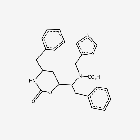 O=C1NC(Cc2ccccc2)CC(C(Cc2ccccc2)N(Cc2cncs2)C(=O)O)O1